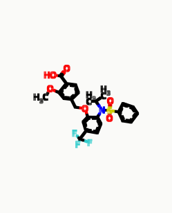 COc1cc(COc2cc(C(F)(F)F)ccc2N(C(C)C)S(=O)(=O)c2ccccc2)ccc1C(=O)O